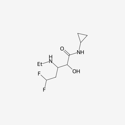 CCNC(CC(F)F)C(O)C(=O)NC1CC1